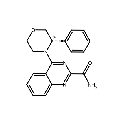 NC(=O)c1nc(N2CCOC[C@@H]2c2ccccc2)c2ccccc2n1